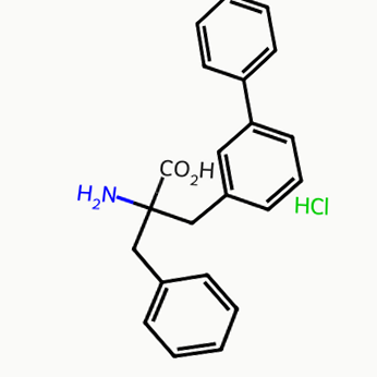 Cl.NC(Cc1ccccc1)(Cc1cccc(-c2ccccc2)c1)C(=O)O